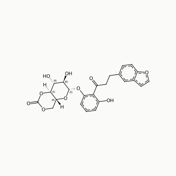 O=C1OC[C@H]2O[C@@H](Oc3cccc(O)c3C(=O)CCc3ccc4occc4c3)[C@H](O)[C@@H](O)[C@@H]2O1